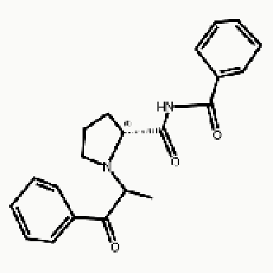 CC(C(=O)c1ccccc1)N1CCC[C@@H]1C(=O)NC(=O)c1ccccc1